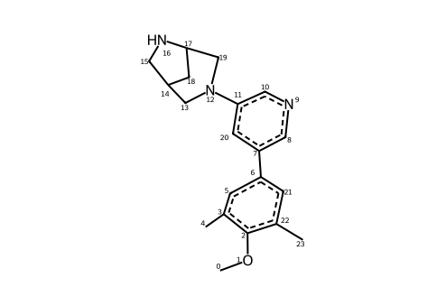 COc1c(C)cc(-c2cncc(N3CC4CNC(C4)C3)c2)cc1C